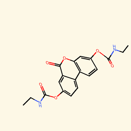 CCNC(=O)Oc1ccc2c(c1)oc(=O)c1cc(OC(=O)NCC)ccc12